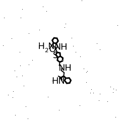 Cc1[nH]c2ccccc2c1CCNCc1ccc2cc(C(=O)Nc3ccccc3N)sc2c1